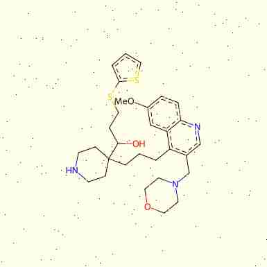 COc1ccc2ncc(CN3CCOCC3)c(CCCC3(C(O)CCSc4cccs4)CCNCC3)c2c1